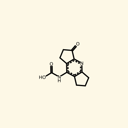 O=C(O)Nc1c2c(nc3c1CCC3=O)CCC2